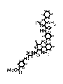 COC(=O)c1ccc(COC(=O)CNC(=O)C(OC(C)CCOc2cccc(NC(=O)C(OC(C)C)C(N)CC3CCCCC3)c2)C(N)CC2CCCCC2)cc1